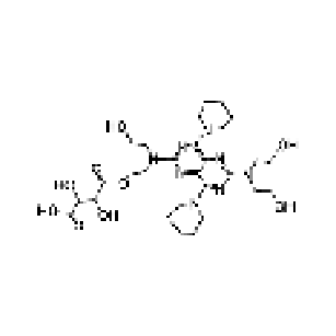 O=C(O)C(O)C(O)C(=O)OCCN(CCO)c1nc(N2CCCCC2)c2nc(N(CCO)CCO)nc(N3CCCCC3)c2n1